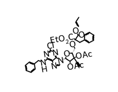 C#C[C@@]1(OC(C)=O)[C@@H](COC(Cc2ccccc2)(C(=O)OC=CC)C(=O)OCC)O[C@@H](n2cnc3c(NCc4ccccc4)nc(Cl)nc32)[C@@H]1OC(C)=O